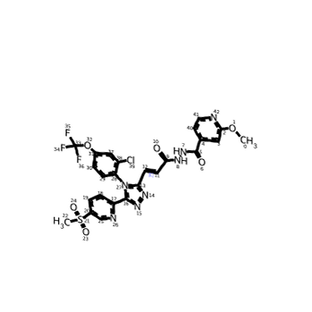 COc1cc(C(=O)NNC(=O)/C=C/c2nnc(-c3ccc(S(C)(=O)=O)cn3)n2-c2ccc(OC(F)(F)F)cc2Cl)ccn1